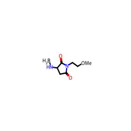 BNC1CC(=O)N(CCOC)C1=O